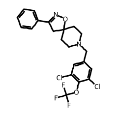 FC(F)(F)Oc1c(Cl)cc(CN2CCC3(CC2)CC(c2ccccc2)=NO3)cc1Cl